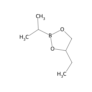 CCC1COB(C(C)C)O1